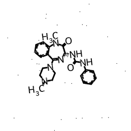 CN1CCN(C2=N[C@@H](NC(=O)Nc3ccccc3)C(=O)N(C)c3ccccc32)CC1